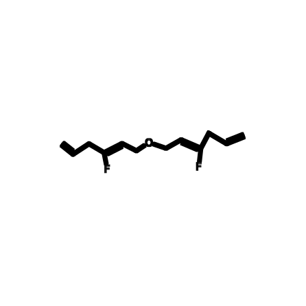 C=CCC(F)=CCOCC=C(F)CC=C